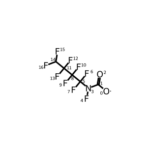 [O]C(=O)N(F)C(F)(F)C(F)(F)C(F)(F)C(F)F